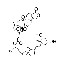 C=C1/C(=C\C=C2/CCCC3(C)C2CCC3C(C)/C=C/C(OC(=O)CCC(=O)OC2C(O)(C(C)C)CC3OC34C23OC3C[C@H]2C3=C(CCC24C)C(=O)OC3)C2CC2)C[C@@H](O)CC1O